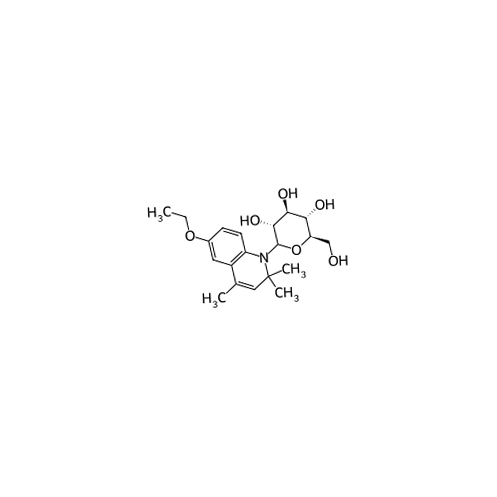 CCOc1ccc2c(c1)C(C)=CC(C)(C)N2C1O[C@H](CO)[C@@H](O)[C@H](O)[C@H]1O